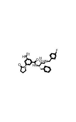 CCNc1cc(C(=O)N[C@@H](Cc2ccccc2)[C@@H](O)CNCc2ccc(F)cc2)cc(N2CCCC2=O)c1